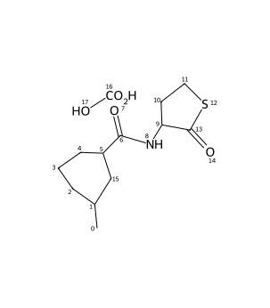 CC1CCCC(C(=O)NC2CCSC2=O)C1.O=C(O)O